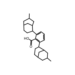 CC1CC2CCC(c3cccc(C4CCC5CC(C)CC4C5)c3C(=O)O)C(C1)C2